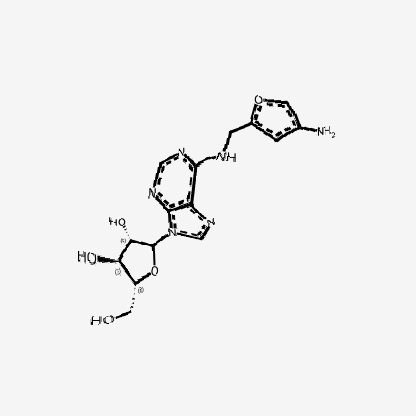 Nc1coc(CNc2ncnc3c2ncn3C2O[C@H](CO)[C@@H](O)[C@@H]2O)c1